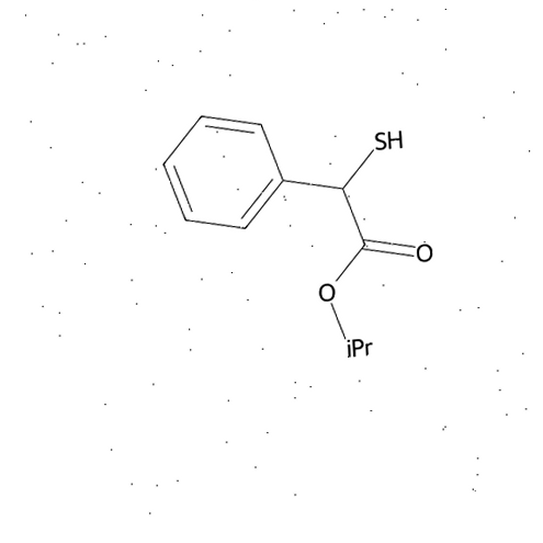 CC(C)OC(=O)C(S)c1ccccc1